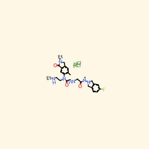 CCNCCN(C(=O)CNCC(=O)N(C)N1Cc2ccc(F)cc2C1)c1cc2c(cc1C)CN(CC)C2=O.Cl.Cl